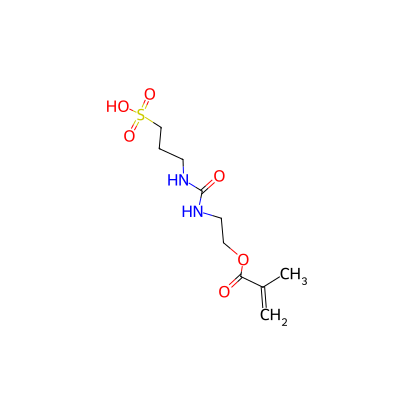 C=C(C)C(=O)OCCNC(=O)NCCCS(=O)(=O)O